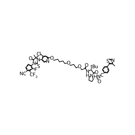 Cc1ncsc1-c1ccc(CNC(=O)[C@@H]2CCCN2C(=O)[C@@H](NC(=O)COCCCOCCCCCOc2cc(Cl)c(N3C(=S)N(c4ccc(C#N)c(C(F)(F)F)c4F)C(=O)C3(C)C)cn2)C(C)(C)C)cc1